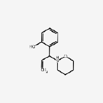 C=CC(c1ccccc1O)[SiH]1CCCCO1